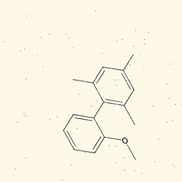 COc1ccccc1-c1c(C)cc(C)cc1C